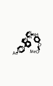 COCCO[C@H]1CC[C@H](Nc2nccc(-n3ccc4c(N5CCN(C(C)=O)CC5)cccc43)n2)CC1